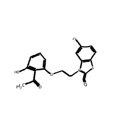 CC(=O)c1c(O)cccc1OCCn1c(=O)sc2ccc(Cl)cc21